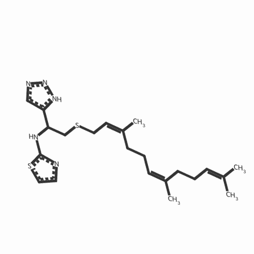 CC(C)=CCCC(C)=CCCC(C)=CCSCC(Nc1nccs1)c1cnn[nH]1